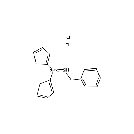 C1=CC[C]([Zr+2](=[SiH]Cc2ccccc2)[C]2=CC=CC2)=C1.[Cl-].[Cl-]